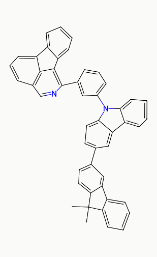 CC1(C)c2ccccc2-c2cc(-c3ccc4c(c3)c3ccccc3n4-c3cccc(-c4ncc5cccc6c5c4-c4ccccc4-6)c3)ccc21